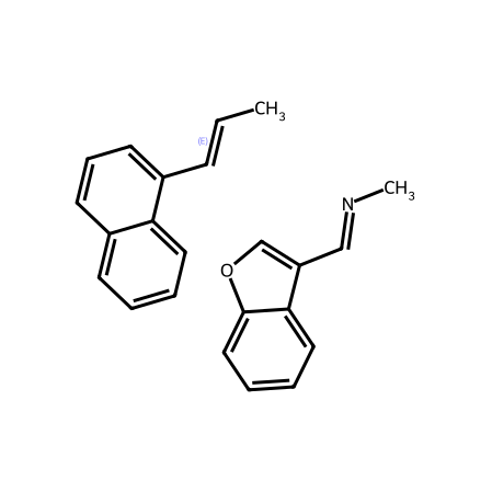 C/C=C/c1cccc2ccccc12.CN=Cc1coc2ccccc12